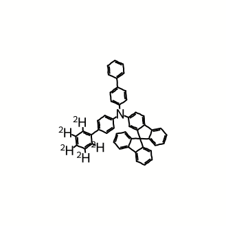 [2H]c1c([2H])c([2H])c(-c2ccc(N(c3ccc(-c4ccccc4)cc3)c3ccc4c(c3)C3(c5ccccc5-c5ccccc53)c3ccccc3-4)cc2)c([2H])c1[2H]